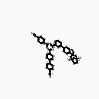 CCC1(c2ccc(-c3cccc(-c4nc(-c5ccc(C#N)cc5)nc(-c5ccc(-c6ccc(C#N)cc6)cc5)n4)c3)cc2)C[C@@H]2CC[C@@H](C2)C1